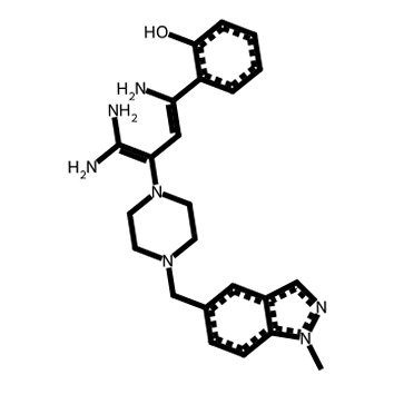 Cn1ncc2cc(CN3CCN(C(/C=C(\N)c4ccccc4O)=C(N)N)CC3)ccc21